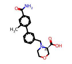 Cc1cc(C(N)=O)ccc1-c1cccc(CN2CCOC[C@@H]2C(=O)O)c1